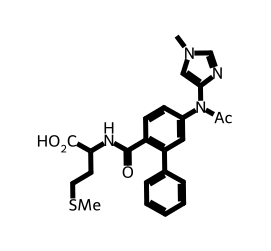 CSCCC(NC(=O)c1ccc(N(C(C)=O)c2cn(C)cn2)cc1-c1ccccc1)C(=O)O